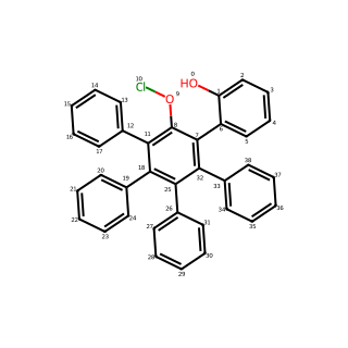 Oc1ccccc1-c1c(OCl)c(-c2ccccc2)c(-c2ccccc2)c(-c2ccccc2)c1-c1ccccc1